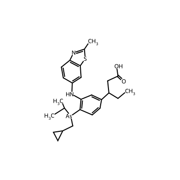 CCC(CC(=O)O)c1ccc([As](CC2CC2)C(C)C)c(Nc2ccc3nc(C)sc3c2)c1